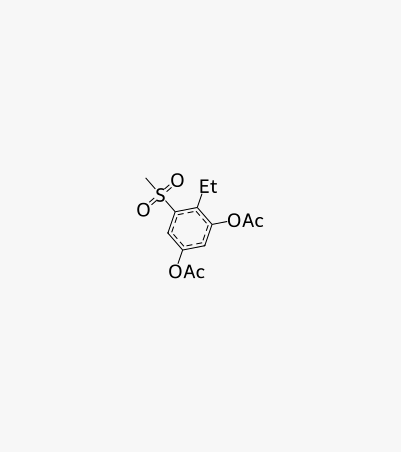 CCc1c(OC(C)=O)cc(OC(C)=O)cc1S(C)(=O)=O